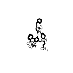 CCCCc1nc2ccc(N3C(=O)CN(Cc4ccccc4)C3=O)cc2n1Cc1ccc(-c2ccccc2C(=O)OC(=O)C(F)(F)F)cc1